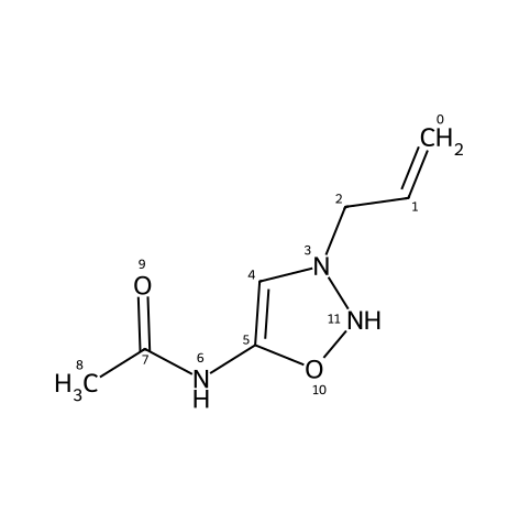 C=CCN1C=C(NC(C)=O)ON1